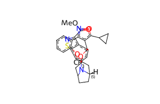 COC(=O)c1nsc2cc(N3C4CC[C@H]3CC(OCc3c(-c5ccccc5OC(F)(F)F)noc3C3CC3)C4)ccc12